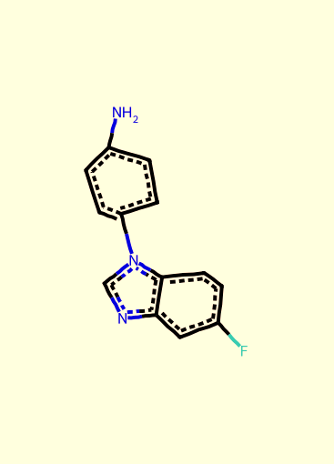 Nc1ccc(-n2cnc3cc(F)ccc32)cc1